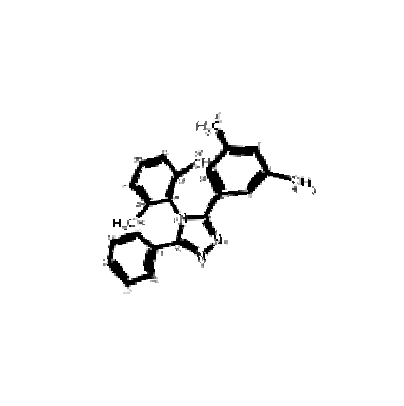 Cc1cc(C)cc(-c2nnc(-c3ccccc3)n2-c2c(C)cccc2C)c1